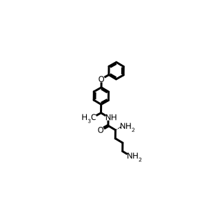 CC(NC(=O)[C@H](N)CCCN)c1ccc(Oc2ccccc2)cc1